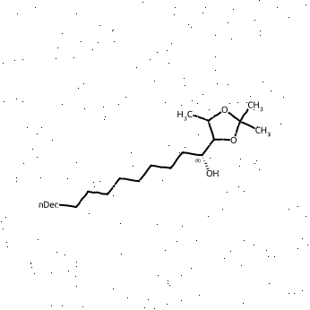 CCCCCCCCCCCCCCCCCC[C@@H](O)C1OC(C)(C)OC1C